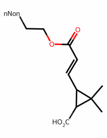 CCCCCCCCCCCOC(=O)C=CC1C(C(=O)O)C1(C)C